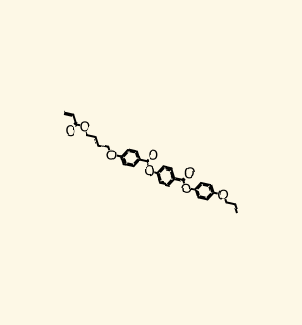 C=CC(=O)OCCCCOc1ccc(C(=O)Oc2ccc(C(=O)Oc3ccc(OCCC)cc3)cc2)cc1